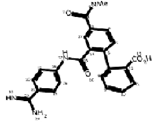 CNC(=O)c1ccc(-c2ccccc2C(=O)O)c(C(=O)Nc2ccc(C(=N)N)cc2)c1